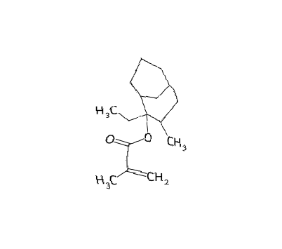 C=C(C)C(=O)OC1(CC)C(C)CC2CCCC1C2